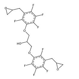 OC(COc1c(F)c(F)c(F)c(CC2CO2)c1F)COc1c(F)c(F)c(F)c(CC2CO2)c1F